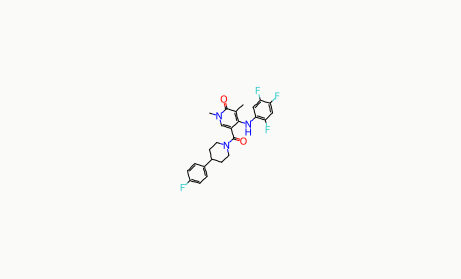 Cc1c(Nc2cc(F)c(F)cc2F)c(C(=O)N2CCC(c3ccc(F)cc3)CC2)cn(C)c1=O